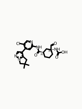 CC1(C)Cc2c(-c3cc(NC(=O)[C@@H]4CCC[C@@](C=O)(NC(=O)O)C4)ncc3Cl)cnn2C1